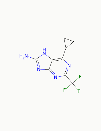 Nc1nc2nc(C(F)(F)F)nc(C3CC3)c2[nH]1